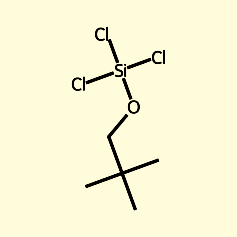 CC(C)(C)CO[Si](Cl)(Cl)Cl